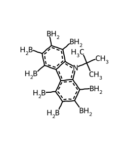 Bc1c(B)c(B)c2c(c1B)c1c(B)c(B)c(B)c(B)c1n2C(C)(C)C